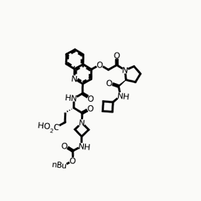 CCCCOC(=O)NC1CN(C(=O)[C@H](CCC(=O)O)NC(=O)c2cc(OCC(=O)N3CCC[C@H]3C(=O)NC3CCC3)c3ccccc3n2)C1